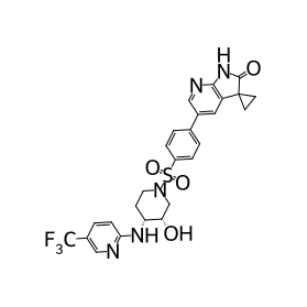 O=C1Nc2ncc(-c3ccc(S(=O)(=O)N4CC[C@@H](Nc5ccc(C(F)(F)F)cn5)[C@@H](O)C4)cc3)cc2C12CC2